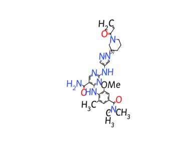 C=CC(=O)N1CCC[C@H](n2cc(Nc3ncc(C(N)=O)c(Nc4c(C)cc(C(=O)N(C)C)cc4OC)n3)cn2)C1